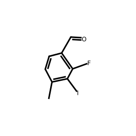 Cc1ccc(C=O)c(F)c1I